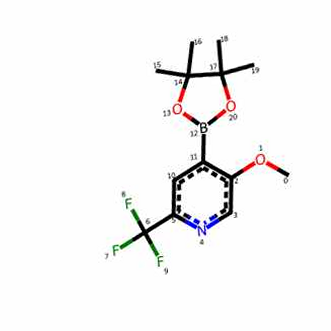 COc1cnc(C(F)(F)F)cc1B1OC(C)(C)C(C)(C)O1